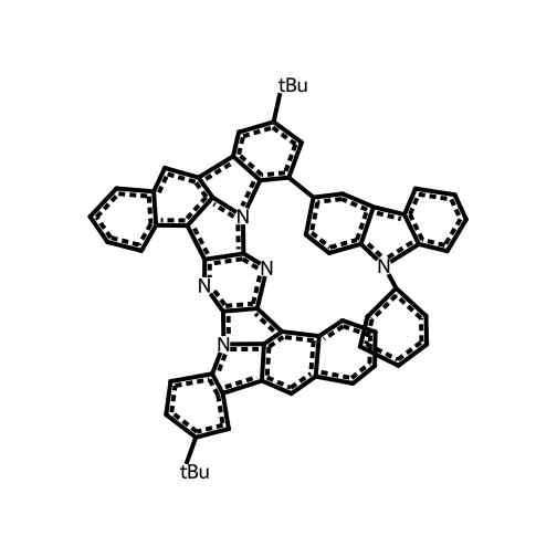 CC(C)(C)c1ccc2c(c1)c1cc3ccccc3c3c4nc5c(nc4n2c13)c1c2ccccc2cc2c3cc(C(C)(C)C)cc(-c4ccc6c(c4)c4ccccc4n6-c4ccccc4)c3n5c21